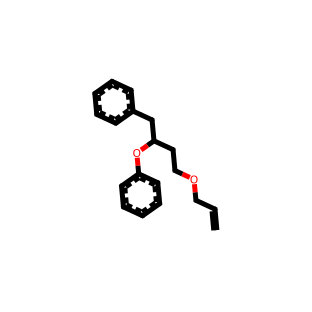 C=CCOCCC(Cc1ccccc1)Oc1ccccc1